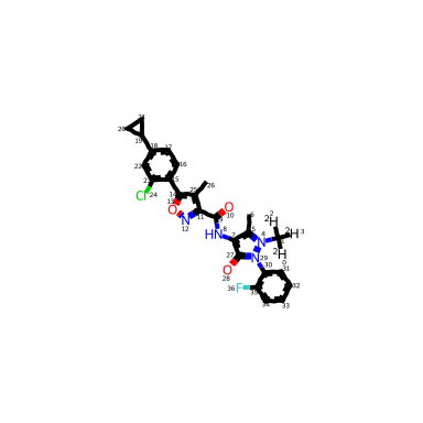 [2H]C([2H])([2H])n1c(C)c(NC(=O)c2noc(-c3ccc(C4CC4)cc3Cl)c2C)c(=O)n1-c1ccccc1F